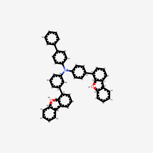 c1ccc(-c2ccc(N(c3ccc(-c4cccc5c4oc4ccccc45)cc3)c3cccc(-c4cccc5c4oc4ccccc45)c3)cc2)cc1